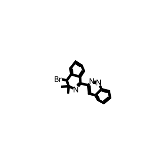 CC1(C)N=C(c2cc3ccccc3nn2)c2ccccc2C1Br